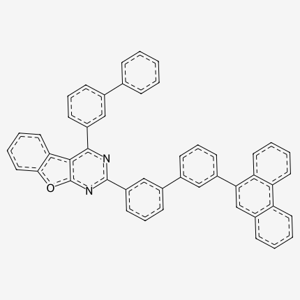 c1ccc(-c2cccc(-c3nc(-c4cccc(-c5cccc(-c6cc7ccccc7c7ccccc67)c5)c4)nc4oc5ccccc5c34)c2)cc1